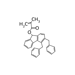 C=C(C)C(=O)OC1c2ccccc2-c2c1ccc(Cc1ccccc1)c2Cc1ccccc1